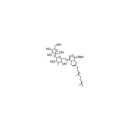 COC(=O)C1CC(CC/C=C(\C)CCC=C(C)C)=CCC1C(=O)OCC1OC(OC2(CO)OC(CO)C(O)C2O)C(O)C(C)C1O